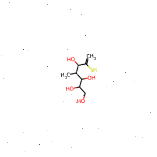 C=C(S)C(O)C(C)C(O)C(O)CO